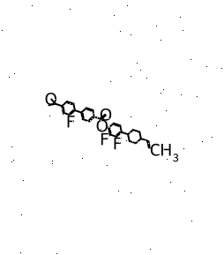 C/C=C/C1CCC(c2ccc(OC(=O)c3ccc(-c4ccc(C5CO5)cc4F)cc3)c(F)c2F)CC1